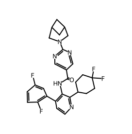 O=C(Nc1c(-c2cc(F)ccc2F)ccnc1C1CCC(F)(F)CC1)c1cnc(N2CC3CC(C3)C2)nc1